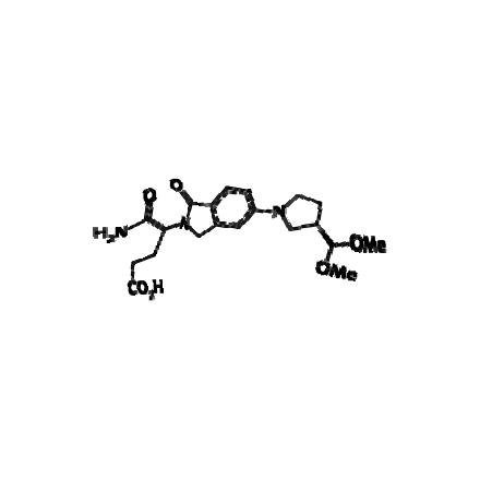 COC(OC)[C@@H]1CCN(c2ccc3c(c2)CN(C(CCC(=O)O)C(N)=O)C3=O)C1